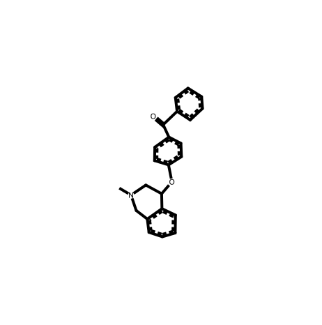 CN1Cc2ccccc2C(Oc2ccc(C(=O)c3ccccc3)cc2)C1